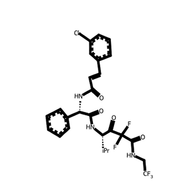 CC(C)[C@H](NC(=O)[C@@H](NC(=O)/C=C/c1cccc(Cl)c1)c1ccccc1)C(=O)C(F)(F)C(=O)NCC(F)(F)F